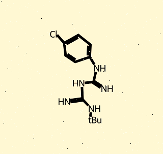 CC(C)(C)NC(=N)NC(=N)Nc1ccc(Cl)cc1